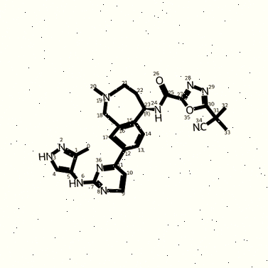 Cc1n[nH]cc1Nc1nccc(-c2ccc3c(c2)CN(C)CC[C@H]3NC(=O)c2nnc(C(C)(C)C#N)o2)n1